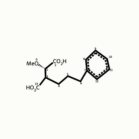 CO[C@H](C(=O)O)C(CCCc1ccccc1)C(=O)O